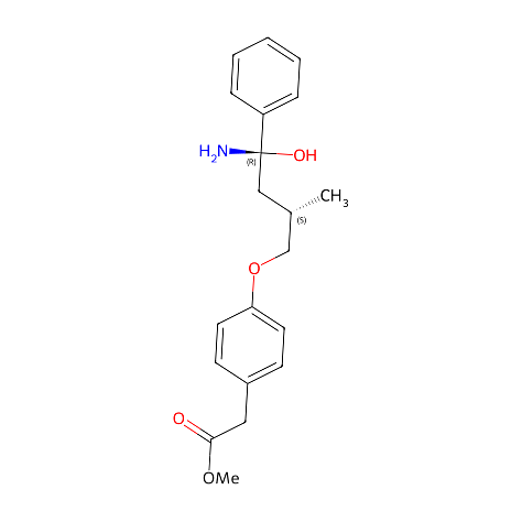 COC(=O)Cc1ccc(OC[C@@H](C)C[C@@](N)(O)c2ccccc2)cc1